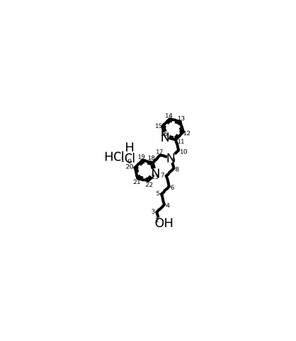 Cl.Cl.OCCCCCCN(Cc1ccccn1)Cc1ccccn1